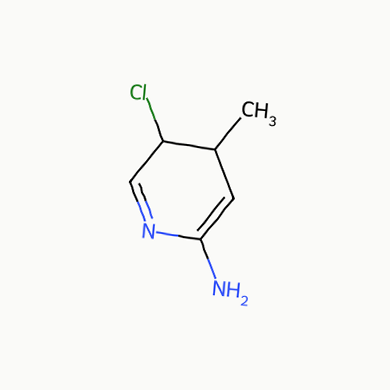 CC1C=C(N)N=CC1Cl